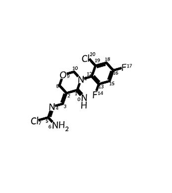 N=C1/C(=C/N=C(\N)Cl)COCN1c1c(F)cc(F)cc1Cl